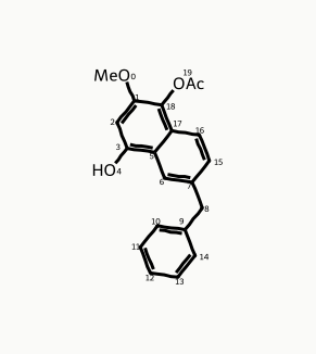 COc1cc(O)c2cc(Cc3ccccc3)ccc2c1OC(C)=O